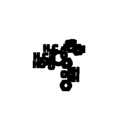 CC1CN([C@@H](C)CO)C(=O)Cc2cc(NC(=O)NC3CCCCC3)ccc2O[C@H]1CN(C)Cc1ccncc1F